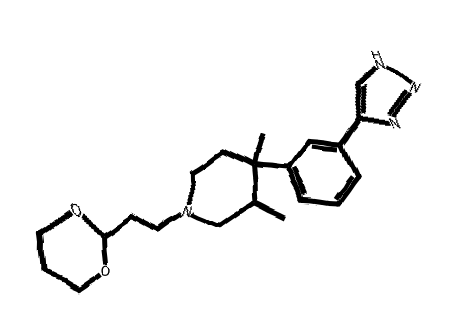 CC1CN(CCC2OCCCO2)CCC1(C)c1cccc(-c2c[nH]nn2)c1